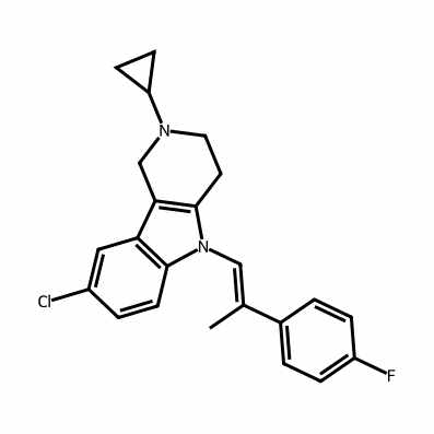 CC(=Cn1c2c(c3cc(Cl)ccc31)CN(C1CC1)CC2)c1ccc(F)cc1